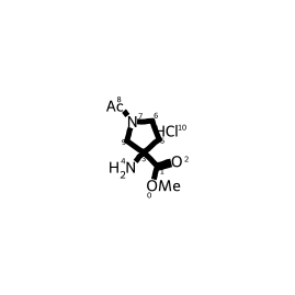 COC(=O)C1(N)CCN(C(C)=O)C1.Cl